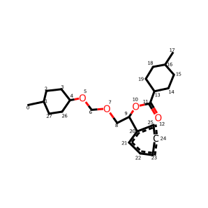 CC1CCC(OCOCC(OC(=O)C2CCC(C)CC2)c2ccccc2)CC1